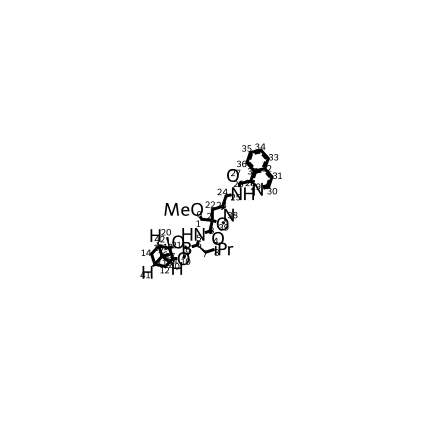 COCC1(C(=O)N[C@@H](CC(C)C)B2O[C@@H]3C[C@@H]4C[C@@H](C4(C)C)[C@]3(C)O2)CC(CNC(=O)c2nccc3ccccc23)=NO1